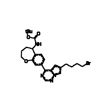 CC(C)(C)OC(=O)NC1CCCOc2cc(-c3ncnn4cc(CCCCBr)cc34)ccc21